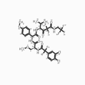 COC[C@H](NC(=O)C(F)(F)c1ccc(Cl)c(Cl)c1)C(=O)N[C@H](C(=O)N[C@H](C(=O)C(F)(F)C(=O)NCC(F)(F)F)C(C)C)c1ccc(OC)cc1